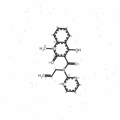 C=CCN(C(=O)c1c(O)c2ccccc2n(C)c1=O)c1ncccn1